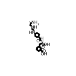 C[C@H](N)CNCCNC1CCC(CC(=O)N[C@H]2Cc3cccc(C(=O)O)c3OB2O)CC1